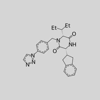 CCC(CC)[C@@H]1C(=O)N[C@H](C2Cc3ccccc3C2)C(=O)N1Cc1ccc(-n2ccnn2)cc1